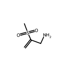 C=C(CN)S(C)(=O)=O